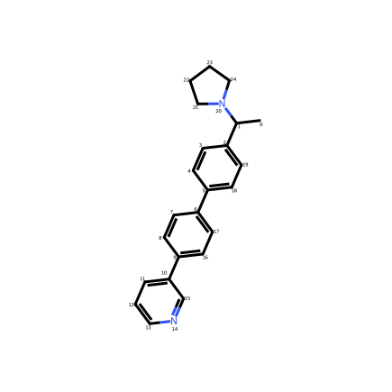 CC(c1ccc(-c2ccc(-c3cccnc3)cc2)cc1)N1CCCC1